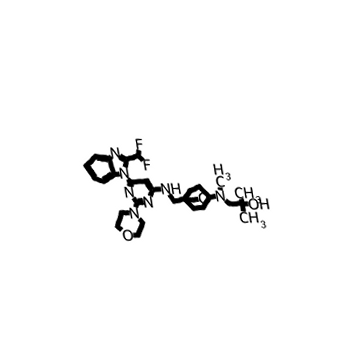 CN(CC(C)(C)O)C12CCC(CNc3cc(-n4c(C(F)F)nc5ccccc54)nc(N4CCOCC4)n3)(CC1)CC2